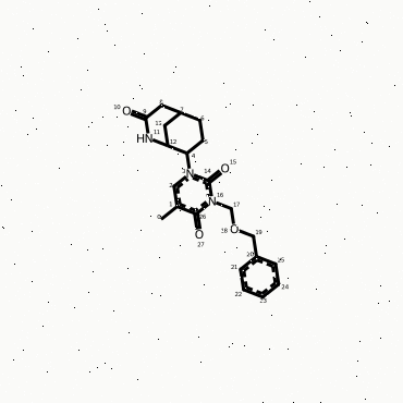 Cc1cn(C2CCC3CC(=O)NC2C3)c(=O)n(COCc2ccccc2)c1=O